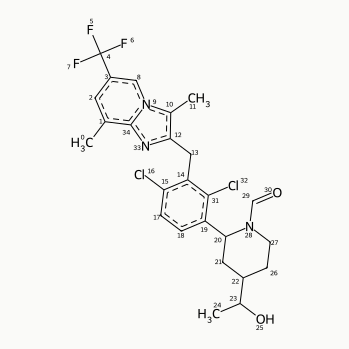 Cc1cc(C(F)(F)F)cn2c(C)c(Cc3c(Cl)ccc(C4CC(C(C)O)CCN4C=O)c3Cl)nc12